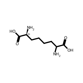 NC(CCCC[C@H](N)C(=O)O)C(=O)O